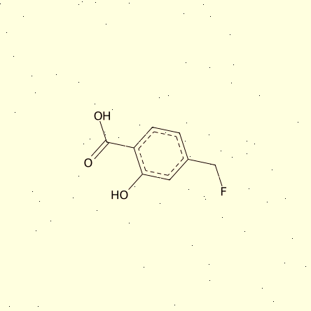 O=C(O)c1ccc(CF)cc1O